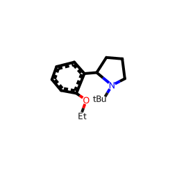 CCOc1ccccc1C1CCCN1C(C)(C)C